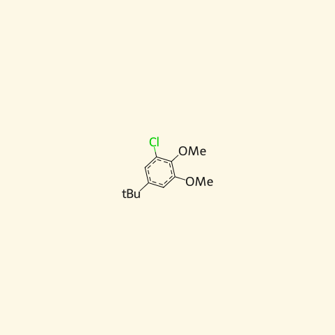 COc1cc(C(C)(C)C)cc(Cl)c1OC